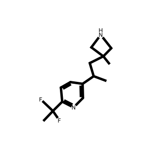 CC(CC1(C)CNC1)c1ccc(C(C)(F)F)nc1